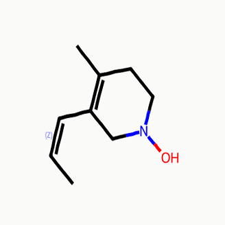 C/C=C\C1=C(C)CCN(O)C1